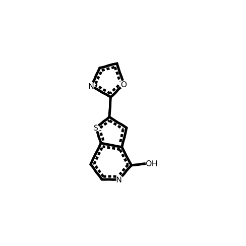 Oc1nccc2sc(-c3ncco3)cc12